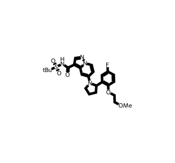 COCCOc1ccc(F)cc1C1CCCN1c1ccn2ncc(C(=O)NS(=O)(=O)C(C)(C)C)c2c1